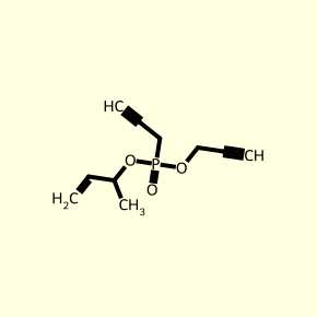 C#CCOP(=O)(CC#C)OC(C)C=C